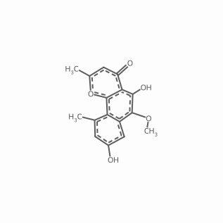 COc1c(O)c2c(=O)cc(C)oc2c2c(C)cc(O)cc12